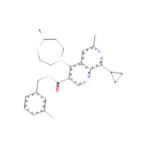 Cc1cccc([C@H](C)NC(=O)c2cnc3c(C4CC4)nc(C)cc3c2N2CCN[C@@H](C)CC2)c1